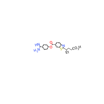 CCC(CCC(=O)O)c1nc2ccc(C(=O)Oc3ccc(C(=N)N)cc3)cc2s1